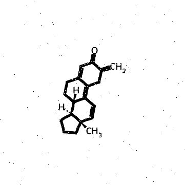 C=C1CC2=C3C=C[C@]4(C)CCC[C@H]4[C@@H]3CCC2=CC1=O